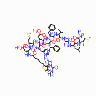 CSCC[C@H](NC(=O)[C@H](CC(C)C)NC(=O)CNC(=O)[C@@H](NC(=O)[C@H](Cc1ccccc1)NC(=O)[C@H](Cc1ccccc1)NC(=O)[C@H](CC(=O)O)NC(=O)[C@H](Cc1cnc[nH]1)NC(=O)[C@H](CCSC)NC(=O)[C@H](CC(=O)O)NC(=O)CCCC[C@@H]1SC[C@@H]2NC(=O)N[C@@H]21)C(C)C)C(N)=O